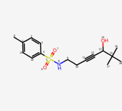 Cc1ccc(S(=O)(=O)NCCC#CC(O)C(C)(C)C)cc1